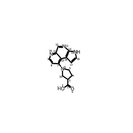 O=C(O)C1CCN(c2ccnc3cnc4[nH]ccc4c23)C1